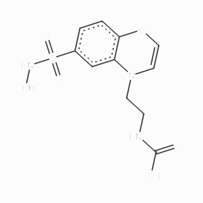 CNS(=O)(=O)c1ccc2c(c1)N(CCNC(C)=O)C=CO2